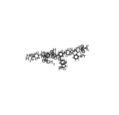 CC(C)c1ccccc1[C@@H]1CN(S(=O)(=O)C2CC2)CCN1C1CC2(CCN(c3ccc(C(=O)NS(=O)(=O)c4cnc(NC[C@H]5CC[C@](C)(O)CC5)c([NH+](C)[O-])c4)c(Oc4cnc5c(c4)C(F)=CC5)c3)CC2)C1